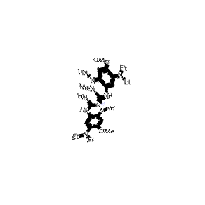 CCN(CC)c1cc(NC(=N)/N=C(\NC)Nc2cc(N(CC)CC)c(OC)cc2N=N)c(N=N)cc1OC